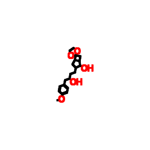 COc1ccc(CC(O)CCC2CC3C(CC34OCCO4)C2O)cc1